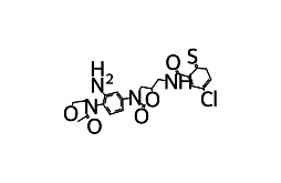 Nc1cc(N2CC(CNC(=O)C3=CC(Cl)=CCC3=S)OC2=O)ccc1N1CCOCC1=O